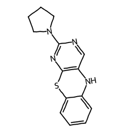 c1ccc2c(c1)Nc1cnc(N3CCCC3)nc1S2